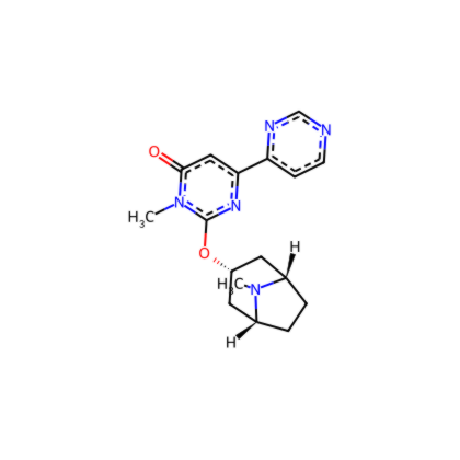 CN1[C@@H]2CC[C@H]1C[C@@H](Oc1nc(-c3ccncn3)cc(=O)n1C)C2